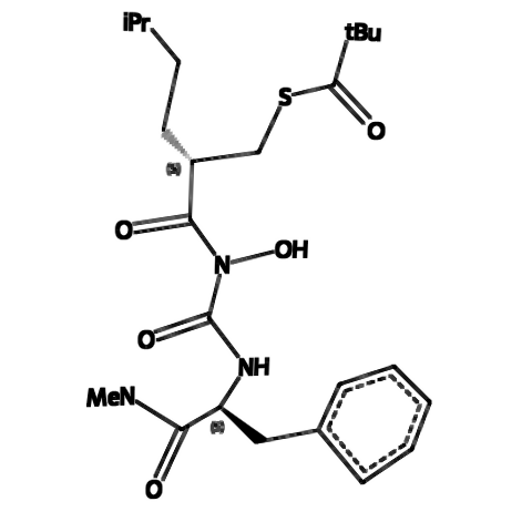 CNC(=O)[C@H](Cc1ccccc1)NC(=O)N(O)C(=O)[C@H](CCC(C)C)CSC(=O)C(C)(C)C